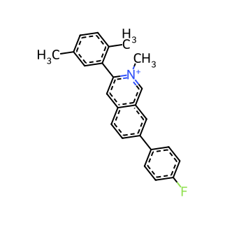 Cc1ccc(C)c(-c2cc3ccc(-c4ccc(F)cc4)cc3c[n+]2C)c1